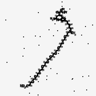 CCCN(CCC)C(=O)C1=Cc2sc(CCCCCN(C)CCOCCOCCOCCOCCOCCOCCOCCOCCOCCOCCC(=O)O)cc2N=C(N)C1